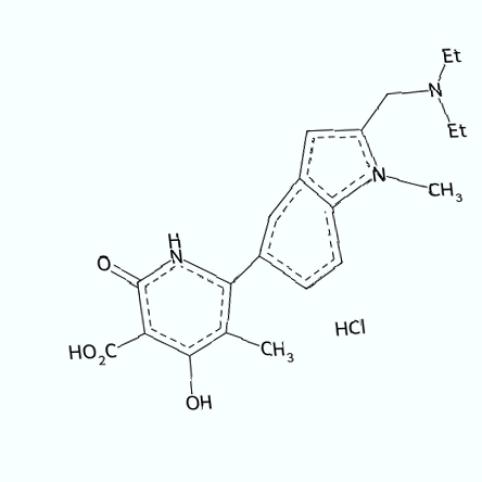 CCN(CC)Cc1cc2cc(-c3[nH]c(=O)c(C(=O)O)c(O)c3C)ccc2n1C.Cl